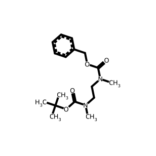 CN(CCN(C)C(=O)OC(C)(C)C)C(=O)OCc1ccccc1